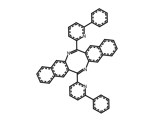 c1ccc(-c2cccc(/C3=N/c4cc5ccccc5cc4/C(c4cccc(-c5ccccc5)n4)=N\c4cc5ccccc5cc43)n2)cc1